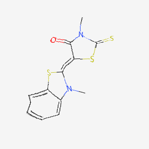 CN1C(=O)/C(=C2\Sc3ccccc3N2C)SC1=S